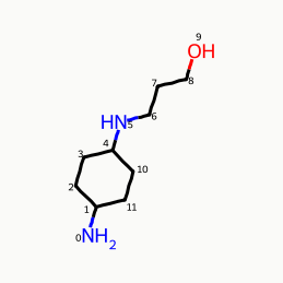 NC1CCC(NCCCO)CC1